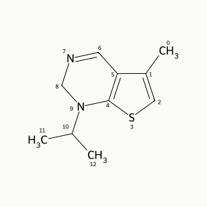 Cc1csc2c1C=NCN2C(C)C